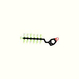 FC(F)(F)C(F)(F)C(F)(F)C(F)(F)C(F)(F)C(F)(F)CCC1CC2CC1C1OC21